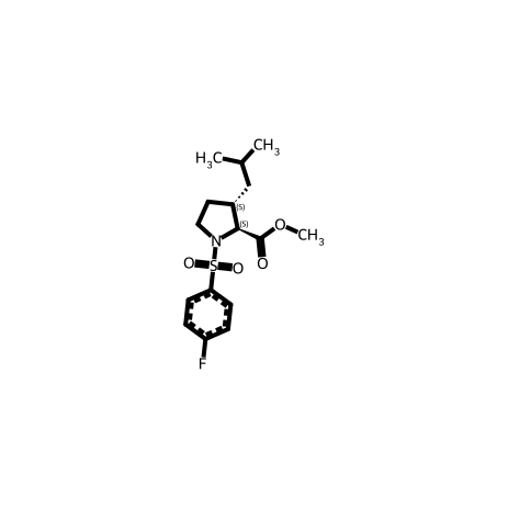 COC(=O)[C@@H]1[C@@H](CC(C)C)CCN1S(=O)(=O)c1ccc(F)cc1